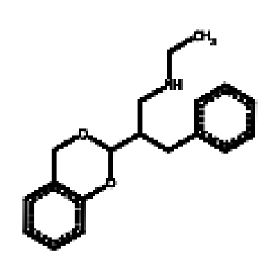 CCNCC(Cc1ccccc1)C1OCc2ccccc2O1